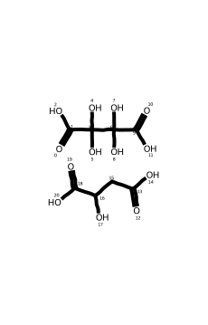 O=C(O)C(O)(O)C(O)(O)C(=O)O.O=C(O)CC(O)C(=O)O